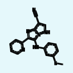 CSc1cccc(Nc2c(-c3ccccn3)nc3c(C#N)c[nH]n23)c1